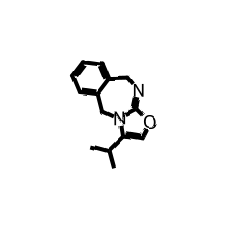 CC(C)C1=COC2=NCc3ccccc3CN12